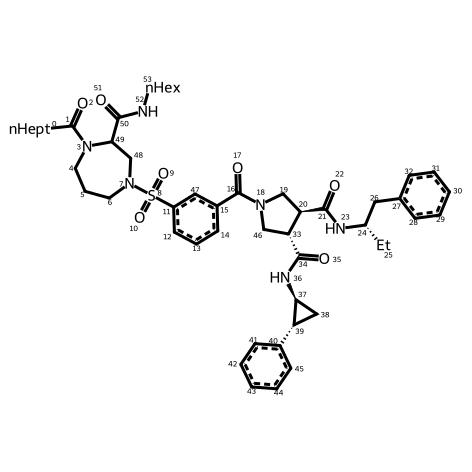 CCCCCCCC(=O)N1CCCN(S(=O)(=O)c2cccc(C(=O)N3C[C@@H](C(=O)N[C@@H](CC)Cc4ccccc4)[C@H](C(=O)N[C@H]4C[C@@H]4c4ccccc4)C3)c2)CC1C(=O)NCCCCCC